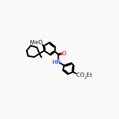 CCOC(=O)c1ccc(NC(=O)c2ccc(OC)c(C3(C)CCCCC3)c2)cc1